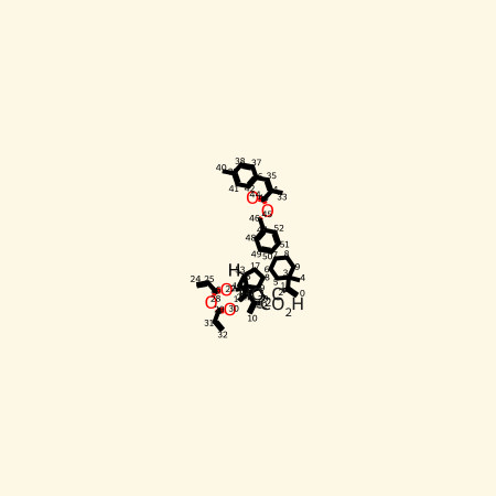 C=C(C(=O)O)C1(C)CCCCC1.C=C(C(=O)O)C1(C)C[C@H]2CC[C@@]1(C)C2(C)C.C=CC(=O)OC(=O)C=C.CC(=Cc1ccc(C)cc1)C(=O)OCc1ccccc1